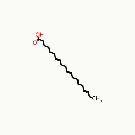 CCC=CCC=CCC=CCCC=CCCCCCC(=O)O